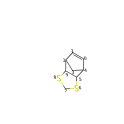 C1=CC2CC1C1SCSC21